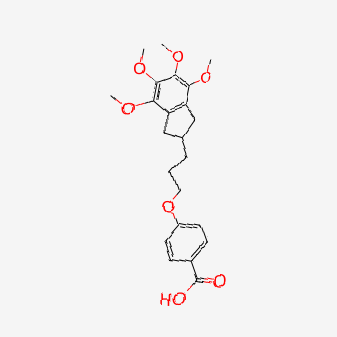 COc1c2c(c(OC)c(OC)c1OC)CC(CCCOc1ccc(C(=O)O)cc1)C2